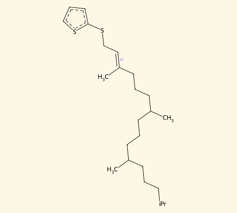 C/C(=C\CSc1cccs1)CCCC(C)CCCC(C)CCCC(C)C